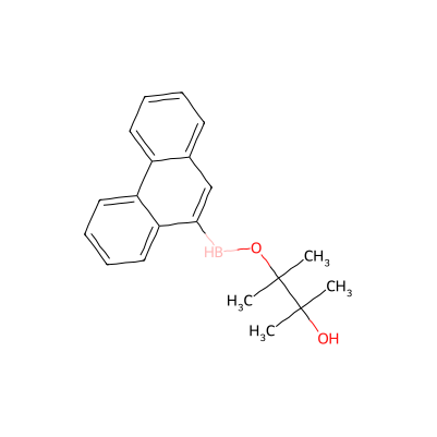 CC(C)(O)C(C)(C)OBc1cc2ccccc2c2ccccc12